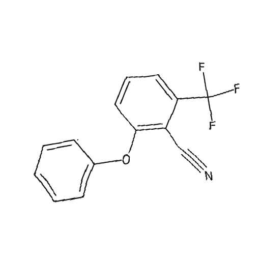 N#Cc1c(Oc2[c]cccc2)cccc1C(F)(F)F